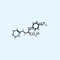 O=C(O)C(CCC1=CCCCC1)Oc1ccc(C(F)(F)F)cc1